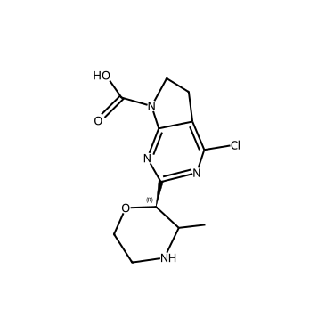 CC1NCCO[C@H]1c1nc(Cl)c2c(n1)N(C(=O)O)CC2